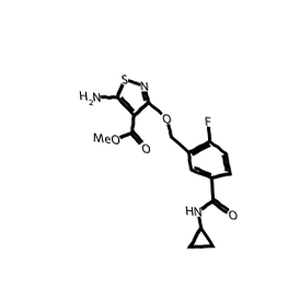 COC(=O)c1c(OCc2cc(C(=O)NC3CC3)ccc2F)nsc1N